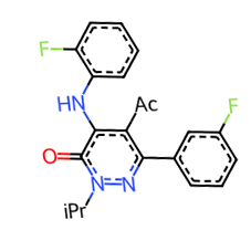 CC(=O)c1c(-c2cccc(F)c2)nn(C(C)C)c(=O)c1Nc1ccccc1F